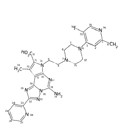 Cc1cc(N2CCN(CCn3c(C(=O)O)c(C)c4c3nc(N)n3nc(-c5ccccn5)nc43)CC2)c(F)cn1